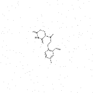 C=Cc1cc(C)ccc1CCN(C)C1CCC(=C)NC1=C